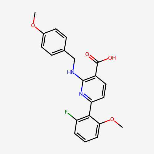 COc1ccc(CNc2nc(-c3c(F)cccc3OC)ccc2C(=O)O)cc1